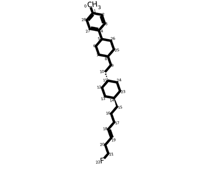 Cc1ccc(C2CCC(CC[C@H]3CC[C@H](CCC/C=C/CCF)CC3)CC2)cc1